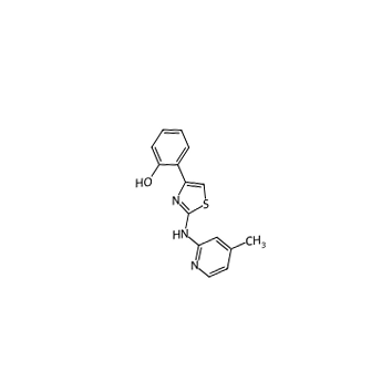 Cc1ccnc(Nc2nc(-c3ccccc3O)cs2)c1